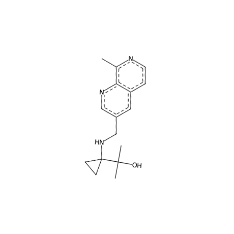 Cc1nccc2cc(CNC3(C(C)(C)O)CC3)cnc12